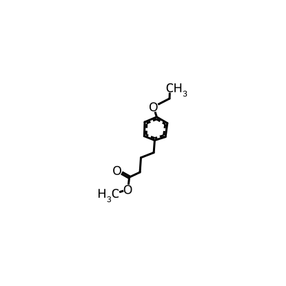 CCOc1ccc(CCCC(=O)OC)cc1